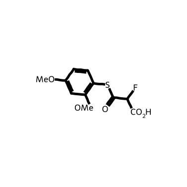 COc1ccc(SC(=O)C(F)C(=O)O)c(OC)c1